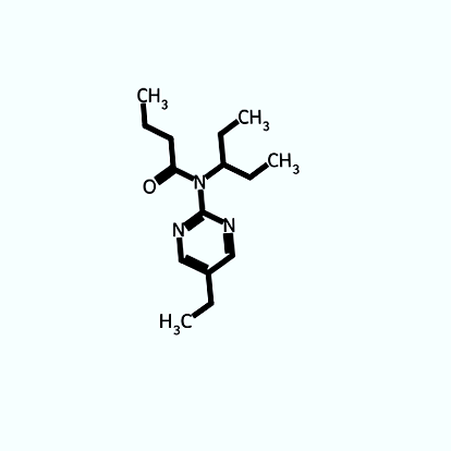 CCCC(=O)N(c1ncc(CC)cn1)C(CC)CC